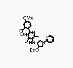 CCO[C@@H]1CN(c2ccccn2)C[C@H]1Nc1c(C)nc(-c2ccc(OC)cc2Cl)n(CC)c1=O